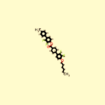 CCCCCCOc1ccc(C2CCC(C(=O)Oc3ccc(-c4ccc(C)cc4)c(F)c3F)CC2)c(F)c1F